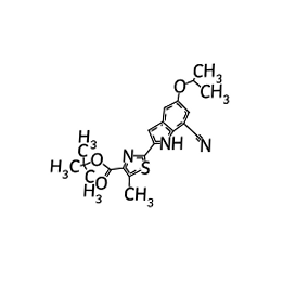 Cc1sc(-c2cc3cc(OC(C)C)cc(C#N)c3[nH]2)nc1C(=O)OC(C)(C)C